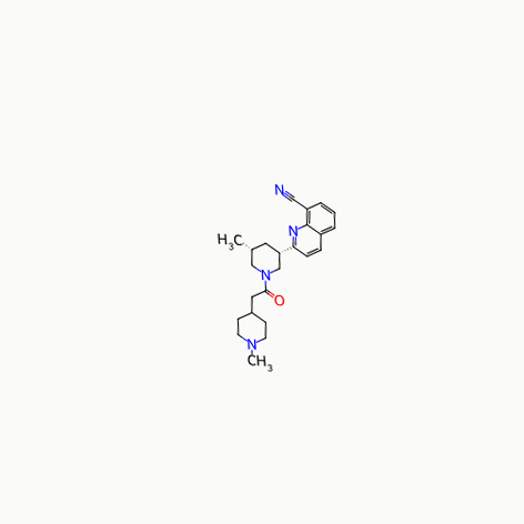 C[C@@H]1C[C@H](c2ccc3cccc(C#N)c3n2)CN(C(=O)CC2CCN(C)CC2)C1